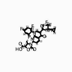 CC1[C@H](C(=O)O)OC(=O)N1c1ccc2c(=O)c(C(=O)N[C@@H](C3CC3)C(F)(F)F)cn(-c3c(F)cc(F)cc3F)c2n1